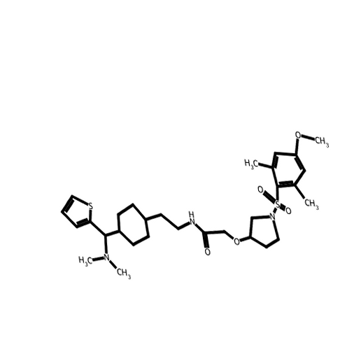 COc1cc(C)c(S(=O)(=O)N2CCC(OCC(=O)NCCC3CCC(C(c4cccs4)N(C)C)CC3)C2)c(C)c1